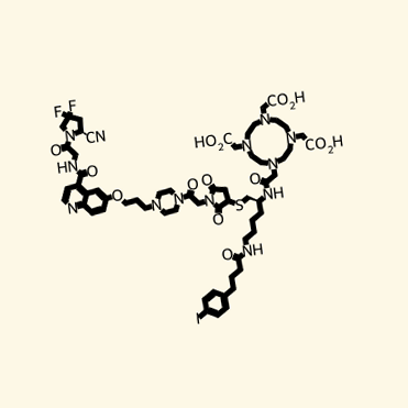 N#C[C@H]1CC(F)(F)CN1C(=O)CNC(=O)c1ccnc2ccc(OCCCN3CCN(C(=O)CN4C(=O)CC(SC[C@H](CCCCNC(=O)CCCc5ccc(I)cc5)NC(=O)CN5CCN(CC(=O)O)CCN(CC(=O)O)CCN(CC(=O)O)CC5)C4=O)CC3)cc12